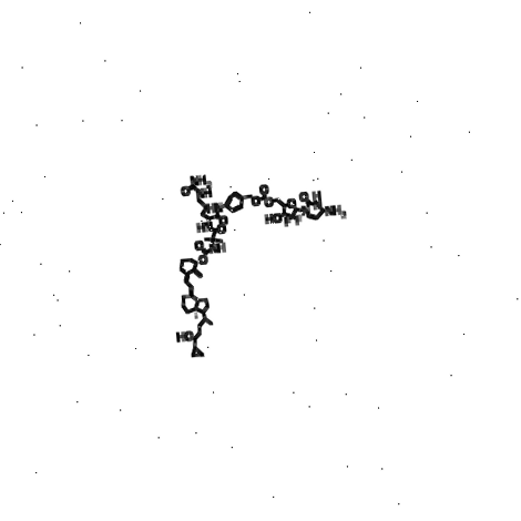 C=C1/C(=C\C=C2/CCC[C@@]3(C)C2CCC3C(C)CCC(O)C2CC2)CCC[C@@H]1OC(=O)NC(C)(C)C(=O)NC(CCCNC(N)=O)C(=O)Nc1ccc(COC(=O)OCC2OC(N3C=C[C@H](N)NC3=O)C(F)(F)C2O)cc1